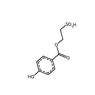 O=C(OCCS(=O)(=O)O)c1ccc(O)cc1